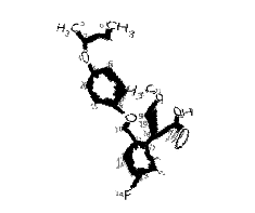 CCC(C)Oc1ccc(OCc2cc(F)ccc2C(=COC)C(=O)O)cc1